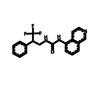 O=C(NCC(c1ccccc1)C(F)(F)F)Nc1cccc2cnccc12